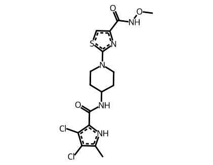 CONC(=O)c1csc(N2CCC(NC(=O)c3[nH]c(C)c(Cl)c3Cl)CC2)n1